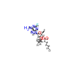 C#C[C@]1(COC(=O)CCCCCC)O[C@@H](n2cnc3c(N)nc(F)nc32)CC1O[Si](C)(C)C(C)(C)C